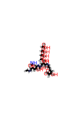 C=C/C=C\[C@H](C)[C@H](OC(N)=O)[C@@H](C)[C@H](O)[C@@H](C)C/C(C)=C\[C@H](C)[C@@H](O)[C@@H](C)/C=C\[C@@H](O)C[C@@H]1OC(=O)[C@H](C)[C@@H](O)[C@H]1C.CC(=O)O.CC(=O)O.CC(=O)O.CC(=O)O